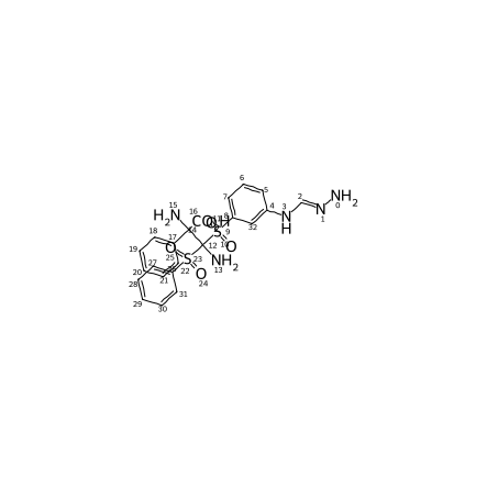 NN=CNc1cccc(S(=O)(=O)C(N)(C(N)(C(=O)O)c2ccccc2)S(=O)(=O)c2ccccc2)c1